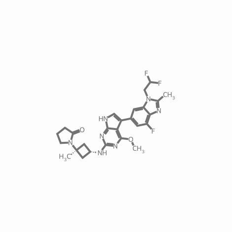 COc1nc(N[C@H]2C[C@](C)(N3CCCC3=O)C2)nc2[nH]cc(-c3cc(F)c4nc(C)n(CC(F)F)c4c3)c12